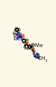 CCn1c(C(=O)Nc2ccc(Oc3ccnc4cc(OCCCN5CCN(C)CC5)c(OC)cc34)c(F)c2)nn(-c2ccccc2F)c1=O